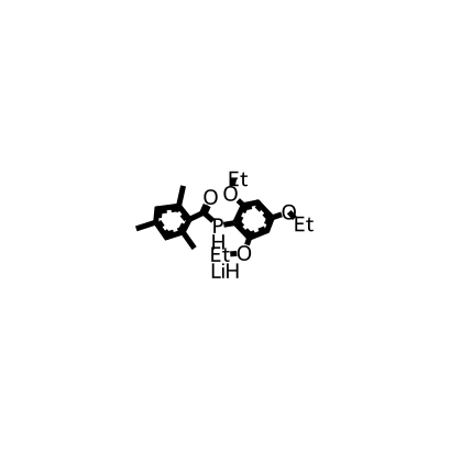 CCOc1cc(OCC)c(PC(=O)c2c(C)cc(C)cc2C)c(OCC)c1.[LiH]